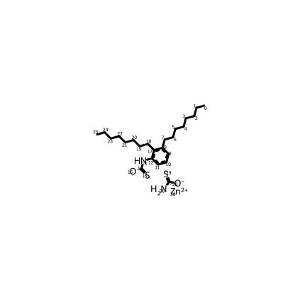 CCCCCCCCc1cccc(NC([O-])=S)c1CCCCCCCC.NC([O-])=S.[Zn+2]